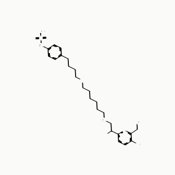 CCCCS(=O)(=O)Nc1ccc(CCCCOCCCCCCNCC(O)c2ccc(O)c(CO)n2)cc1